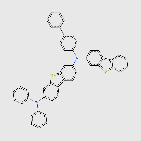 c1ccc(-c2ccc(N(c3ccc4c(c3)sc3ccccc34)c3ccc4c(c3)sc3cc(N(c5ccccc5)c5ccccc5)ccc34)cc2)cc1